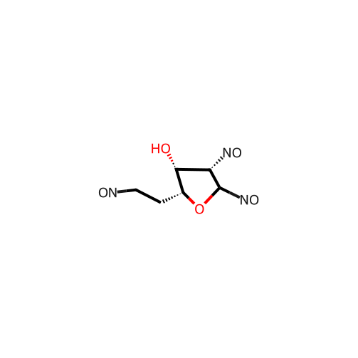 O=NCC[C@H]1OC(N=O)[C@@H](N=O)[C@H]1O